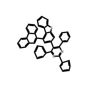 c1ccc(-c2nc(-c3ccccc3)c(-c3cc(-c4cc5ccccc5c5ccccc45)c4c(c3)sc3ccccc34)c(-c3ccccc3)n2)cc1